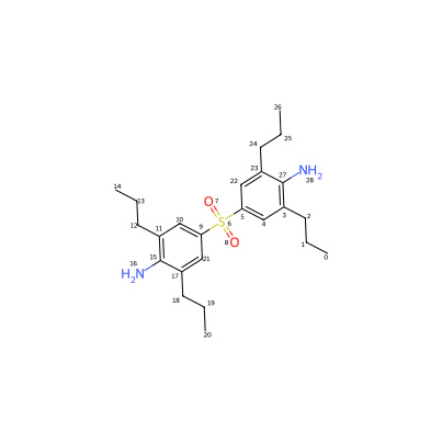 CCCc1cc(S(=O)(=O)c2cc(CCC)c(N)c(CCC)c2)cc(CCC)c1N